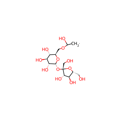 [CH2]C(O)OC[C@H]1O[C@H](O[C@]2(CO)O[C@H](CO)[C@@H](O)[C@@H]2O)[C@H](O)[C@@H](O)[C@@H]1O